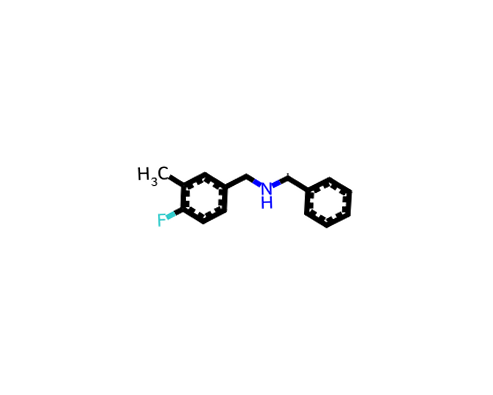 Cc1cc(CN[CH]c2ccccc2)ccc1F